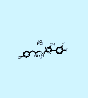 Cl.Cl.NC(C[AsH]c1nc(O)c(-c2ccc(F)c(F)c2)s1)Cc1ccc(Cl)cc1